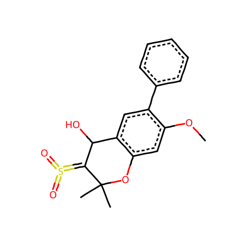 COc1cc2c(cc1-c1ccccc1)C(O)C(=S(=O)=O)C(C)(C)O2